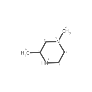 CC1[CH]N(C)CCN1